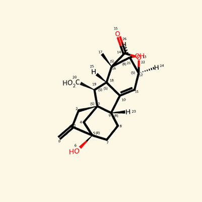 C=C1C[C@]23C[C@]1(O)CC[C@H]2C1=C[C@@H]2OC(=O)[C@@](C)([C@H]1[C@@H]3C(=O)O)[C@H]2O